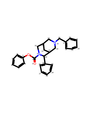 O=C(Oc1ccccc1)N1CC2CC(CN(Cc3ccccc3)C2)C1c1ccccc1